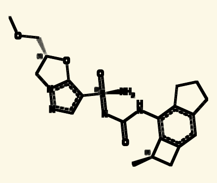 COC[C@H]1Cn2ncc([S@](N)(=O)=NC(=O)Nc3c4c(cc5c3[C@H](C)C5)CCC4)c2O1